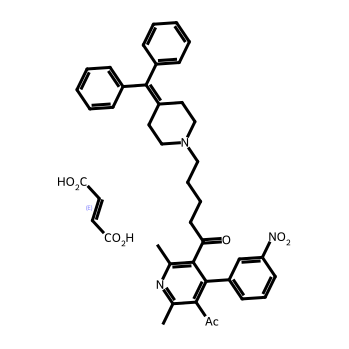 CC(=O)c1c(C)nc(C)c(C(=O)CCCCN2CCC(=C(c3ccccc3)c3ccccc3)CC2)c1-c1cccc([N+](=O)[O-])c1.O=C(O)/C=C/C(=O)O